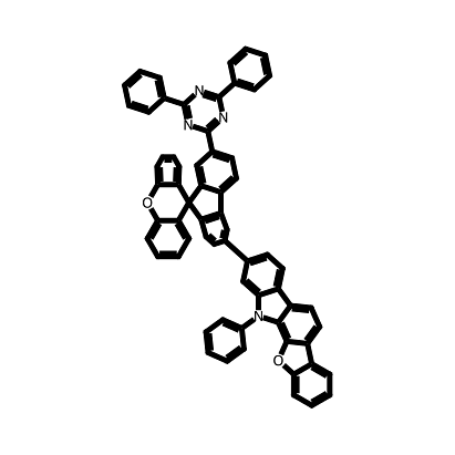 c1ccc(-c2nc(-c3ccccc3)nc(-c3ccc4c(c3)C3(c5ccccc5Oc5ccccc53)c3ccc(-c5ccc6c7ccc8c9ccccc9oc8c7n(-c7ccccc7)c6c5)cc3-4)n2)cc1